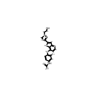 CCC(=O)Nc1ccc(Oc2ccnc3cc(-c4ncn(CCO)n4)sc23)c(F)c1